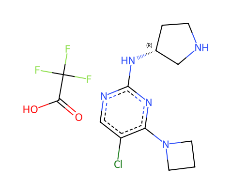 Clc1cnc(N[C@@H]2CCNC2)nc1N1CCC1.O=C(O)C(F)(F)F